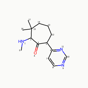 CNC1C(=O)C(c2ccncn2)CCCC1(C)C